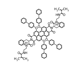 C=C(C)C(=O)NCCNC(=O)C(Cc1ccccn1)N1C(=O)c2cc(Oc3ccc(-c4ccccc4)cc3)c3c4c(Oc5ccc(-c6ccccc6)cc5)cc5c6c(cc(Oc7ccc(-c8ccccc8)cc7)c(c7c(Oc8ccc(-c9ccccc9)cc8)cc(c2c37)C1=O)c64)C(=O)N(C(Cc1ccccn1)C(=O)NCCNC(=O)C(=C)C)C5=O